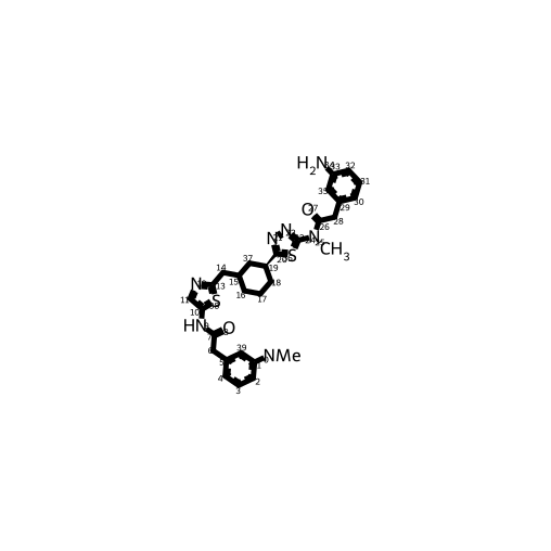 CNc1cccc(CC(=O)Nc2cnc(CC3CCC[C@H](c4nnc(N(C)C(=O)Cc5cccc(N)c5)s4)C3)s2)c1